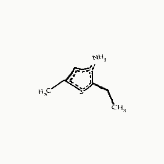 CCc1ncc(C)s1.N